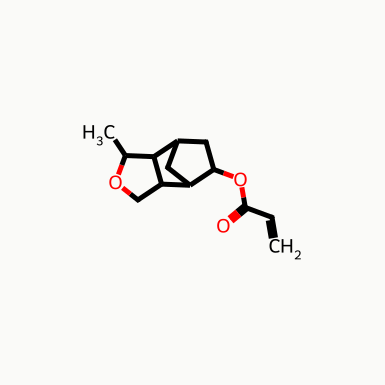 C=CC(=O)OC1CC2CC1C1COC(C)C21